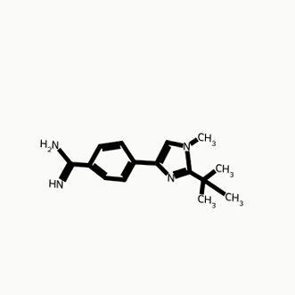 Cn1cc(-c2ccc(C(=N)N)cc2)nc1C(C)(C)C